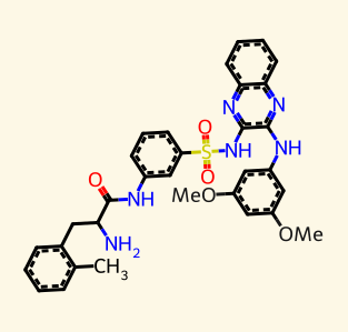 COc1cc(Nc2nc3ccccc3nc2NS(=O)(=O)c2cccc(NC(=O)C(N)Cc3ccccc3C)c2)cc(OC)c1